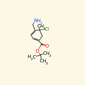 CC(C)(C)OC(=O)C1=CC=C(CN)C(C)(Cl)C1